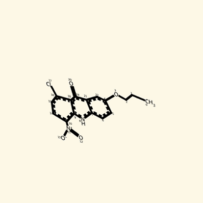 CCCOc1ccc2[nH]c3c([N+](=O)[O-])ccc(Cl)c3c(=O)c2c1